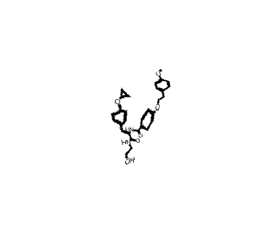 COc1ccc(CCOc2ccc(C(=O)N/C(=C\c3ccc(OC4CC4)cc3)C(=O)NCCO)cc2)cc1